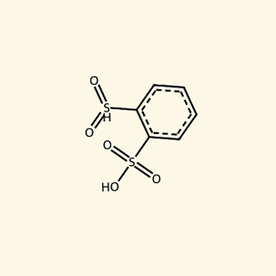 O=[SH](=O)c1ccccc1S(=O)(=O)O